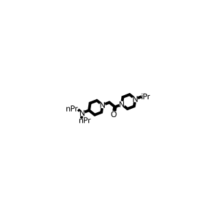 CCCN(CCC)C1CCN(CC(=O)N2CCN(C(C)C)CC2)CC1